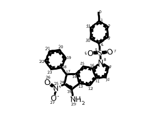 Cc1ccc(S(=O)(=O)n2ccc3cc4c(cc32)C(c2ccccc2)C([N+](=O)[O-])=C4N)cc1